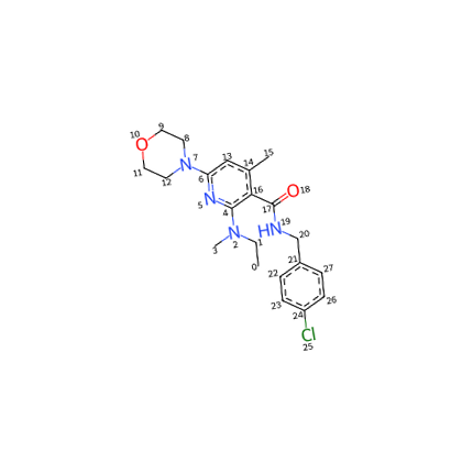 CCN(C)c1nc(N2CCOCC2)cc(C)c1C(=O)NCc1ccc(Cl)cc1